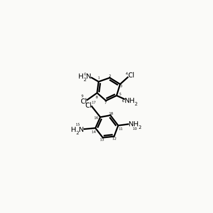 Nc1cc(Cl)c(N)cc1Cl.Nc1ccc(N)c(Cl)c1